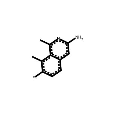 Cc1nc(N)cc2ccc(F)c(C)c12